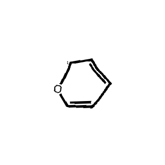 [C]1C=CC=CO1